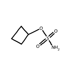 NS(=O)(=O)OC1CCC1